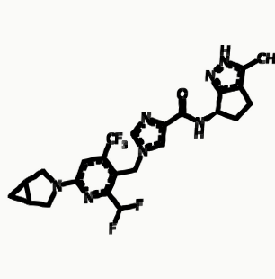 Cc1[nH]nc2c1CC[C@H]2NC(=O)c1cn(Cc2c(C(F)(F)F)cc(N3CC4CC4C3)nc2C(F)F)cn1